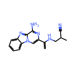 C=C(NCC(C)C#N)c1cn2c(nc3ccccc32)c(N)n1